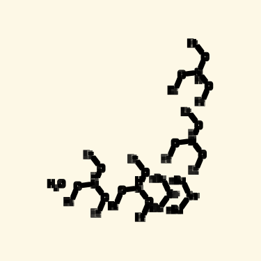 CCC[CH2][Sn][CH2]CCC.CCC[CH2][Sn][CH2]CCC.CCO[SiH](OCC)OCC.CCO[SiH](OCC)OCC.CCO[SiH](OCC)OCC.CCO[SiH](OCC)OCC.O